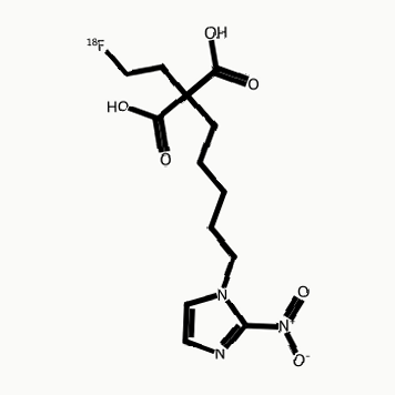 O=C(O)C(CC[18F])(CCCCCn1ccnc1[N+](=O)[O-])C(=O)O